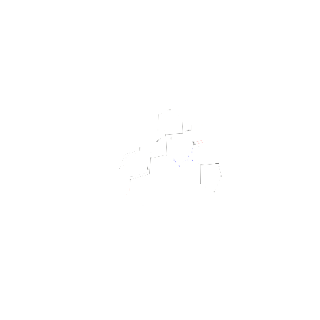 CCOc1ccc(C2=NN(C3CCCC3)C(=O)[C@H]3CCCC[C@@H]23)cc1OCC